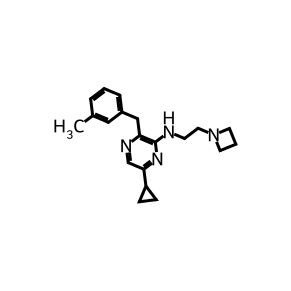 Cc1cccc(Cc2ncc(C3CC3)nc2NCCN2CCC2)c1